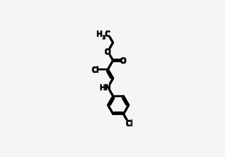 CCOC(=O)C(Cl)=CNc1ccc(Cl)cc1